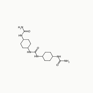 NC(=O)NC1CCC(NC(=O)NC2CCC(NC(N)=O)CC2)CC1